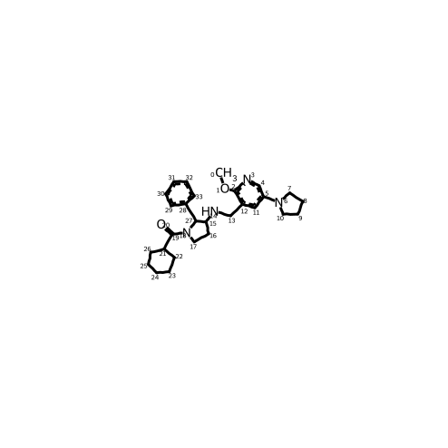 COc1ncc(N2CCCC2)cc1CNC1CCN(C(=O)C2CCCCC2)C1c1ccccc1